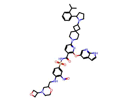 CC(C)c1ccccc1C1CCCN1C1CC2(CCN(c3ccc(C(=O)NS(=O)(=O)c4ccc(NCC5CN(C6COC6)CCO5)c(N=O)c4)c(Oc4cnc5[nH]ccc5c4)n3)CC2)C1